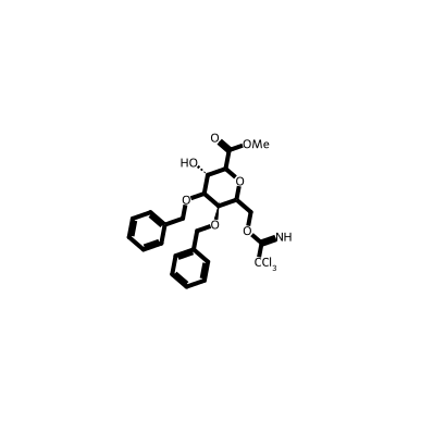 COC(=O)C1OC(COC(=N)C(Cl)(Cl)Cl)[C@@H](OCc2ccccc2)C(OCc2ccccc2)[C@@H]1O